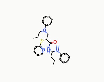 CCCC(NC(=O)C(CN(CCC)c1ccccc1)Sc1ccccn1)Nc1ccccc1